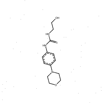 OCCNC(=S)Nc1ccc(N2CCOCC2)cc1